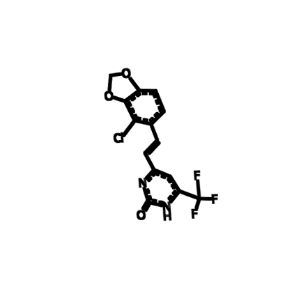 O=c1nc(C=Cc2ccc3c(c2Cl)OCO3)cc(C(F)(F)F)[nH]1